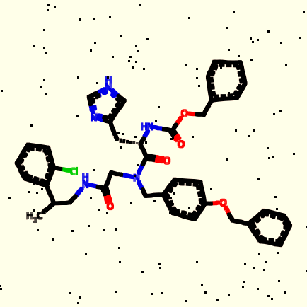 CC(CNC(=O)CN(Cc1ccc(OCc2ccccc2)cc1)C(=O)[C@H](Cc1c[nH]cn1)NC(=O)OCc1ccccc1)c1ccccc1Cl